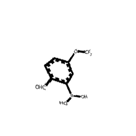 O=Cc1ccc(OC(F)(F)F)cc1B(O)O